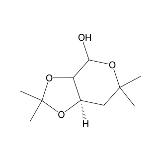 CC1(C)C[C@H]2OC(C)(C)OC2C(O)O1